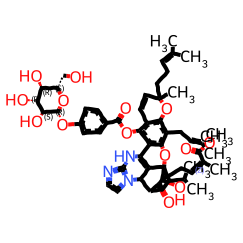 COC(=O)/C(C)=C\CC1(O)C(=O)C2CC(C(C)C)C13Oc1c(CC=C(C)C)c4c(c(OC(=O)c5ccc(O[C@H]6O[C@@H](CO)[C@H](O)[C@@H](O)[C@@H]6O)cc5)c1C1=C3C2n2ccnc2N1)C=CC(C)(CCC=C(C)C)O4